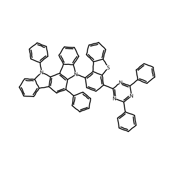 c1ccc(-c2nc(-c3ccccc3)nc(-c3ccc(-n4c5ccccc5c5c4c(-c4ccccc4)cc4c6ccccc6n(-c6ccccc6)c45)c4c3sc3ccccc34)n2)cc1